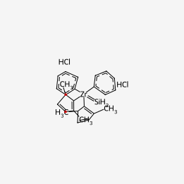 CC1=[C]([Zr](=[SiH2])([C]2=C(C)C=CC2C)([c]2ccccc2)[c]2ccccc2)C(C)C=C1.Cl.Cl